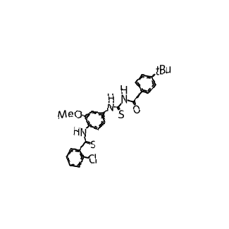 COc1cc(NC(=S)NC(=O)c2ccc(C(C)(C)C)cc2)ccc1NC(=S)c1ccccc1Cl